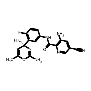 CC1=C[C@@](C)(c2cc(NC(=O)c3ncc(C#N)cc3N)ccc2F)N=C(N)O1